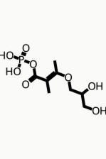 CC(OCC(O)CO)=C(C)C(=O)OP(=O)(O)O